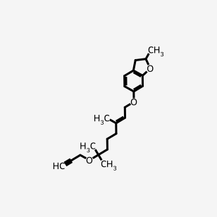 C#CCOC(C)(C)CCC/C(C)=C/COc1ccc2c(c1)OC(C)C2